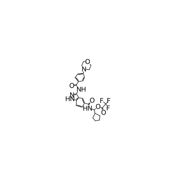 O=C(Nc1n[nH]c2ccc(C(=O)NC(OC(=O)C(F)(F)F)C3CCCC3)cc12)c1ccc(N2CCOCC2)cc1